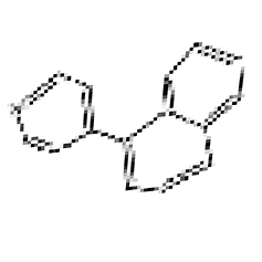 [c]1cnccc1-c1cccc2ccccc12